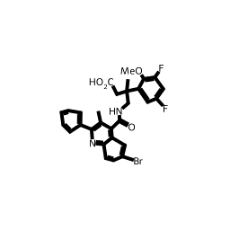 COc1c(F)cc(F)cc1C(C)(CNC(=O)c1c(C)c(-c2ccccc2)nc2ccc(Br)cc12)CC(=O)O